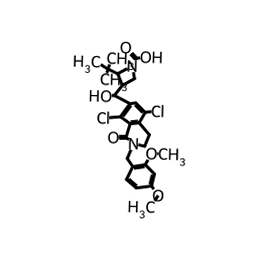 COc1ccc(CN2CCc3c(Cl)cc(C(O)C4CN(C(=O)O)C4C(C)(C)C)c(Cl)c3C2=O)c(OC)c1